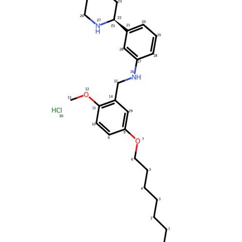 CCCCCCCOc1ccc(OC)c(CNc2cccc([C@@H]3CCCCN3)c2)c1.Cl